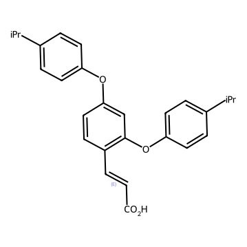 CC(C)c1ccc(Oc2ccc(/C=C/C(=O)O)c(Oc3ccc(C(C)C)cc3)c2)cc1